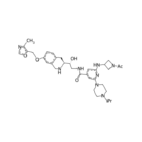 CC(=O)N1CC(Nc2cc(C(=O)NC[C@@H](O)[C@@H]3Cc4ccc(OCc5ocnc5C)cc4CN3)cc(N3CCN(C(C)C)CC3)n2)C1